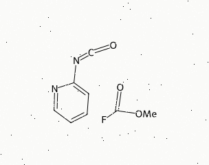 COC(=O)F.O=C=Nc1ccccn1